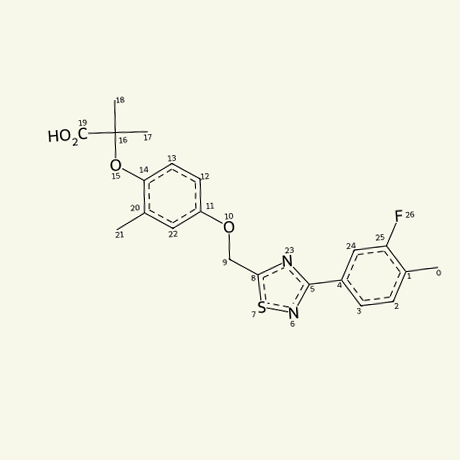 Cc1ccc(-c2nsc(COc3ccc(OC(C)(C)C(=O)O)c(C)c3)n2)cc1F